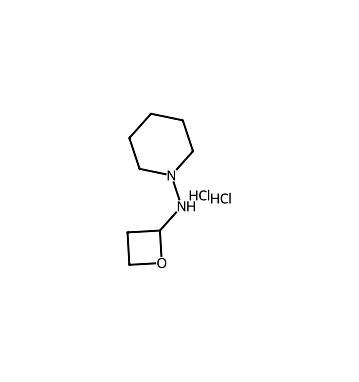 C1CCN(NC2CCO2)CC1.Cl.Cl